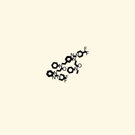 CCN(C(=O)CCn1c(N2CCC(C(F)F)CC2)nc2ccc(CCN(C(=O)CCn3c(N4CCC(F)(F)CC4)nc4ccccc43)C3CCCCC3)cc21)C1CCCCC1